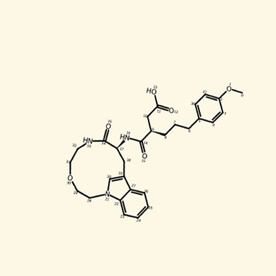 COc1ccc(CCC[C@H](CC(=O)O)C(=O)N[C@H]2Cc3cn(c4ccccc34)CCOCCNC2=O)cc1